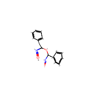 O=NC(OC(N=O)c1ccccc1)c1ccccc1